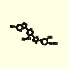 CC(=O)N[C@H]1CCN(c2nnc(-c3cnc(-c4ccc5cc(C#N)cnn45)cc3NC(C)C)s2)C[C@H]1O